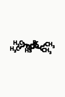 CCCCC(CC)COc1cc(Br)c(OCC(CC)CCCC)cc1S